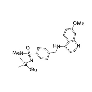 CNS(=O)(=N[Si](C)(C)C(C)(C)C)c1ccc(CNc2ccnc3cc(OC)ccc23)cc1